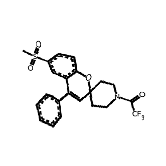 CS(=O)(=O)c1ccc2c(c1)C(c1ccccc1)=CC1(CCN(C(=O)C(F)(F)F)CC1)O2